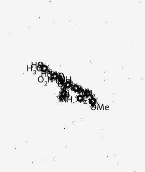 CCc1ccccc1C1CN(Cc2ccc(OC)cc2)CCN1C1CC2(CCN(c3ccc(C(=O)NS(=O)(=O)c4ccc(NC[C@H]5CC[C@](C)(O)CC5)c([N+](=O)[O-])c4)c(Oc4cnc5[nH]ccc5c4)c3)CC2)C1